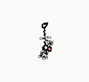 O=C(NCCCCc1ccccc1)[C@H](Cc1ccc(C(F)(F)P(=O)(O)O)cc1)NS(=O)(=O)c1cccs1